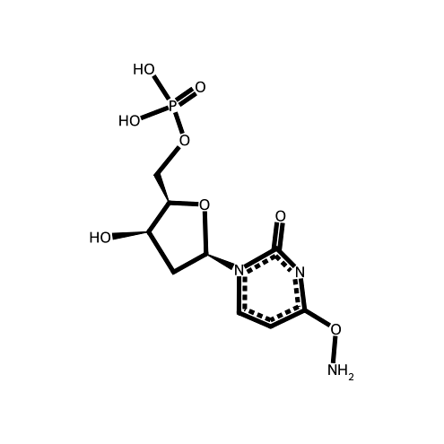 NOc1ccn([C@H]2C[C@@H](O)[C@@H](COP(=O)(O)O)O2)c(=O)n1